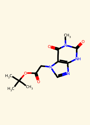 Cn1c(=O)[nH]c2ncn(CC(=O)OC(C)(C)C)c2c1=O